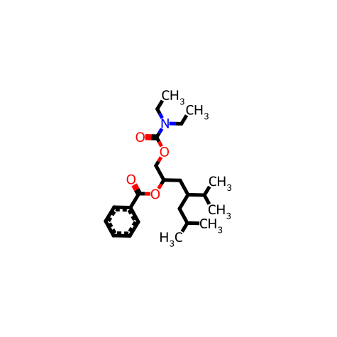 CCN(CC)C(=O)OCC(CC(CC(C)C)C(C)C)OC(=O)c1ccccc1